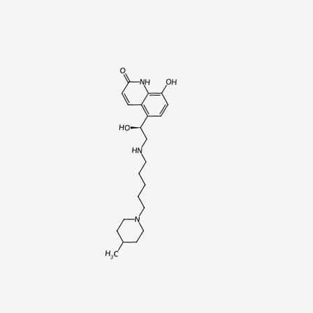 CC1CCN(CCCCCNC[C@@H](O)c2ccc(O)c3[nH]c(=O)ccc23)CC1